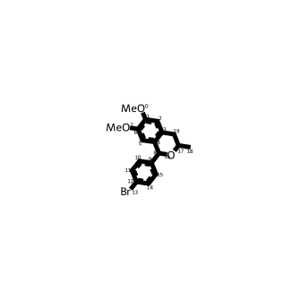 COc1cc2c(cc1OC)C(c1ccc(Br)cc1)OC(C)C2